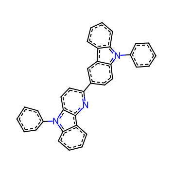 c1ccc(-n2c3ccccc3c3cc(-c4ccc5c(n4)c4ccccc4n5-c4ccccc4)ccc32)cc1